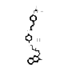 Cc1c2c(c3ccccc3c1O)OC(C)(CCSc1ccc(NC(=O)C=Cc3ccc(NC(=N)N)cc3)cc1)CC2.Cl